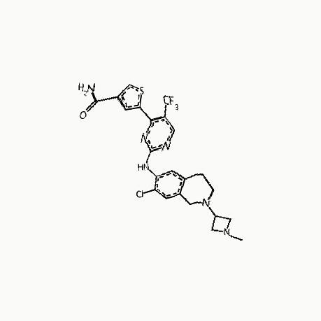 CN1CC(N2CCc3cc(Nc4ncc(C(F)(F)F)c(-c5cc(C(N)=O)cs5)n4)c(Cl)cc3C2)C1